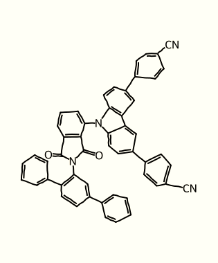 N#Cc1ccc(-c2ccc3c(c2)c2cc(-c4ccc(C#N)cc4)ccc2n3-c2cccc3c2C(=O)N(c2cc(-c4ccccc4)ccc2-c2ccccc2)C3=O)cc1